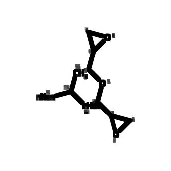 C(OCC1CO1)C1CO1.CCCCCCCCCC(C)CCCCCC